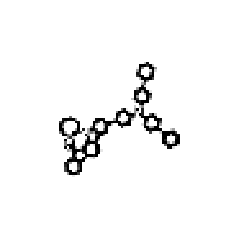 O=C1c2ccccc2-c2ccc3c4cc(-c5ccc(N(c6ccc(-c7ccccc7)cc6)c6ccc(-c7ccccc7)cc6)cc5)ccc4n(C4=CC=CC=CC4)c3c21